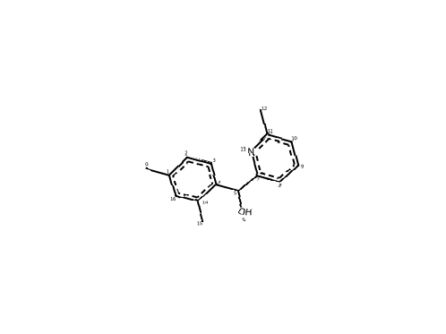 Cc1ccc(C(O)c2cccc(C)n2)c(C)c1